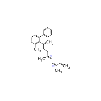 C=C/C(C)=C\C=C(/C)CCC(=C)c1c(C)cccc1-c1ccccc1